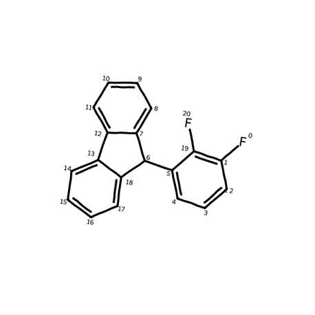 Fc1[c]ccc(C2c3ccccc3-c3ccccc32)c1F